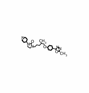 Cc1nnc(-c2ccc(OCC(C)CCCN3CCN(c4ccncc4)C3=O)cc2)o1